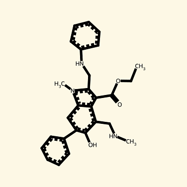 CCOC(=O)c1c(CNc2ccccc2)n(C)c2cc(-c3ccccc3)c(O)c(CNC)c12